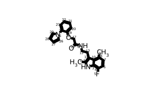 Cc1[nH]c2c(F)ccc(C)c2c1CCNC(=O)COc1ccccc1-n1cccc1